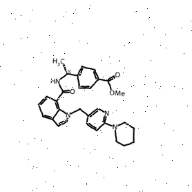 COC(=O)c1ccc([C@H](C)NC(=O)c2cccc3ccn(Cc4ccc(N5CCCCC5)nc4)c23)cc1